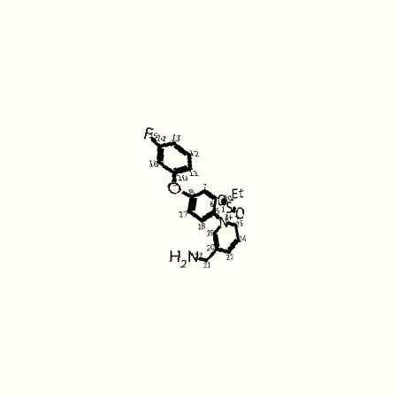 CCS(=O)(=O)[N+]1(c2ccc(Oc3cccc(F)c3)cc2)C=C(CN)C=CC1